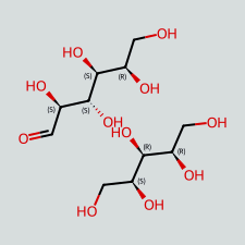 O=C[C@@H](O)[C@@H](O)[C@@H](O)[C@H](O)CO.OC[C@@H](O)[C@H](O)[C@@H](O)CO